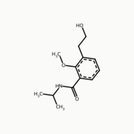 COc1c(CCO)cccc1C(=O)NC(C)C